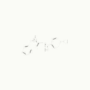 CN(Cc1ccccc1)C(=O)CNC1=CCC(Cl)C=C1